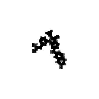 CCN(CC)Cc1cccc(-n2c3nc(Nc4ccc5c(c4)CNCC5)ncc3c(=O)n2C2CC2)n1